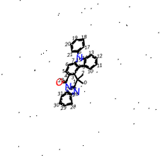 CC1(C)c2c(ccc3c2c2ccccc2n3-c2ccccc2)C(=O)n2c1nc1ccccc12